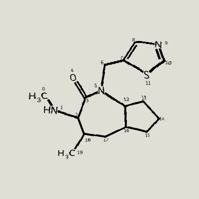 CNC1C(=O)N(Cc2cncs2)C2CCCC2CC1C